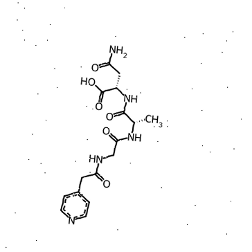 C[C@H](NC(=O)CNC(=O)Cc1ccncc1)C(=O)N[C@@H](CC(N)=O)C(=O)O